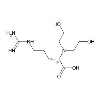 N=C(N)NCCC[C@@H](C(=O)O)N(CCO)CCO